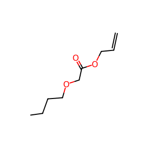 C=CCOC(=O)COCCCC